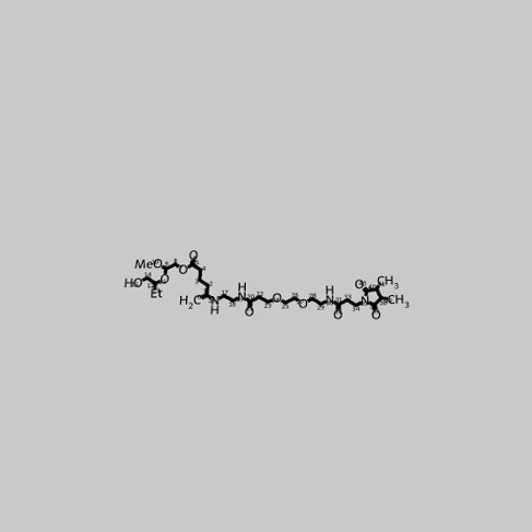 C=C(CCCC(=O)OCC(OC)OC(CC)CO)NCCNC(=O)CCOCCOCCNC(=O)CCN1C(=O)C(C)C(C)C1=O